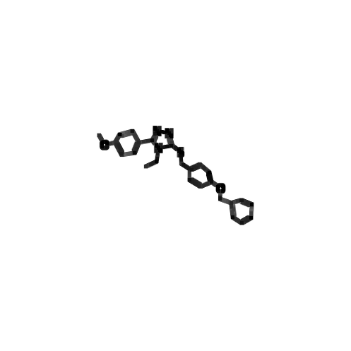 CCn1c(SCc2ccc(OCc3ccccc3)cc2)nnc1-c1ccc(OC)cc1